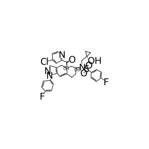 O=C(c1cc(Cl)ccn1)[C@]12Cc3cnn(-c4ccc(F)cc4)c3C=C1CC[C@H](N(CC1(O)CC1)S(=O)(=O)c1ccc(F)cc1)C2